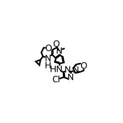 Cn1c(=O)c2c(c3cc(Nc4nc(N5C6CCC5COC6)ncc4Cl)ccc31)NC(C1CC1)CCO2